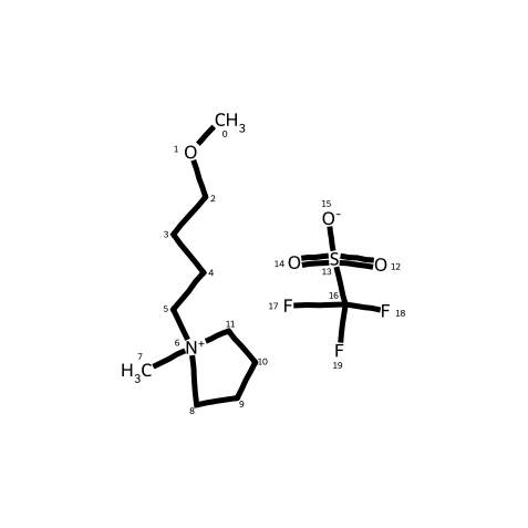 COCCCC[N+]1(C)CCCC1.O=S(=O)([O-])C(F)(F)F